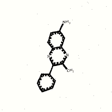 Cc1nc2cc(N)ccc2nc1-c1ccccc1